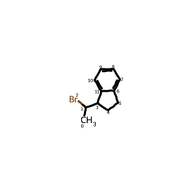 CC(Br)C1CCc2ccccc21